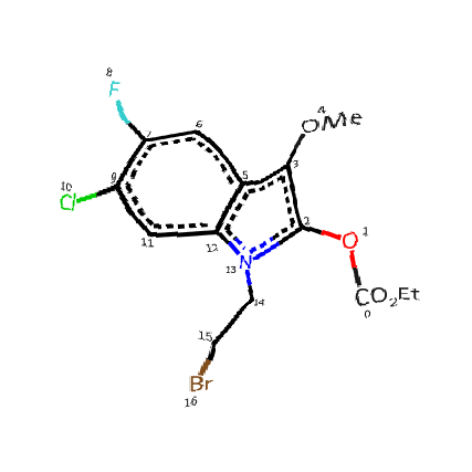 CCOC(=O)Oc1c(OC)c2cc(F)c(Cl)cc2n1CCBr